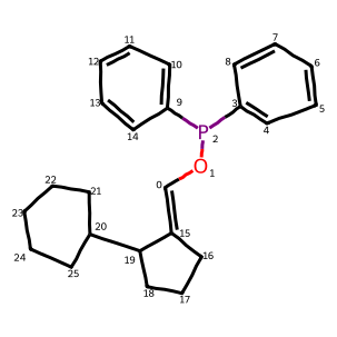 C(OP(c1ccccc1)c1ccccc1)=C1CCCC1C1CCCCC1